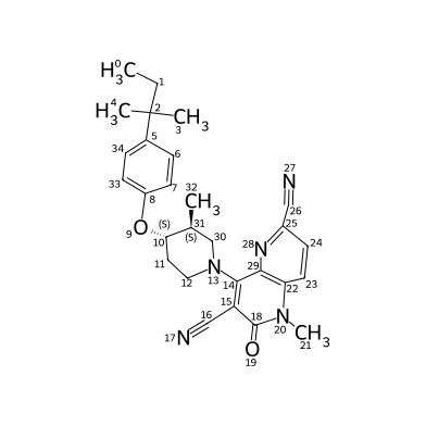 CCC(C)(C)c1ccc(O[C@H]2CCN(c3c(C#N)c(=O)n(C)c4ccc(C#N)nc34)C[C@@H]2C)cc1